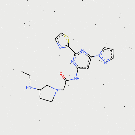 CCNC1CCN(CC(=O)Nc2cc(-n3cccn3)nc(-c3nccs3)n2)C1